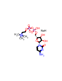 C[N+](C)(C)CCOP(=O)([O-])OP(=O)(O)OC[C@H]1O[C@@H](n2ccc(N)nc2=O)[C@H](O)[C@@H]1O.[NaH]